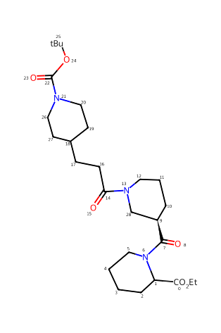 CCOC(=O)C1CCCCN1C(=O)[C@@H]1CCCN(C(=O)CCC2CCN(C(=O)OC(C)(C)C)CC2)C1